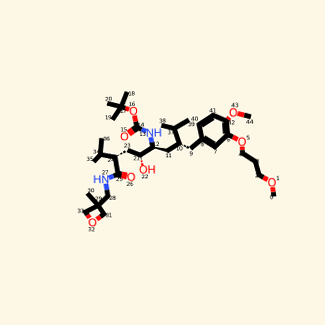 COCCCOc1cc(C[C@H](C[C@H](NC(=O)OC(C)(C)C)[C@H](O)C[C@H](C(=O)NCC2(C)COC2)C(C)C)C(C)C)ccc1OC